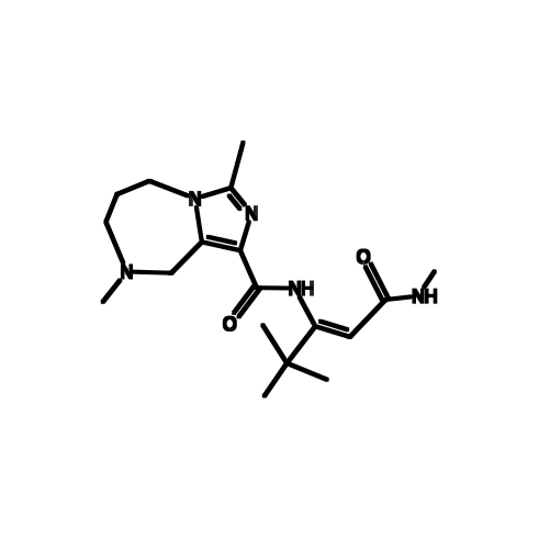 CNC(=O)/C=C(\NC(=O)c1nc(C)n2c1CN(C)CCC2)C(C)(C)C